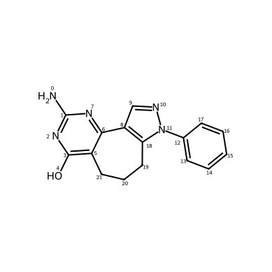 Nc1nc(O)c2c(n1)-c1cnn(-c3ccccc3)c1CCC2